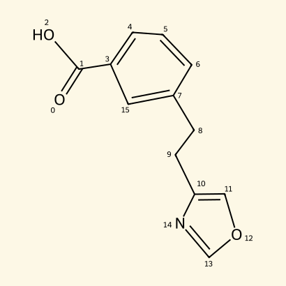 O=C(O)c1cccc(CCc2cocn2)c1